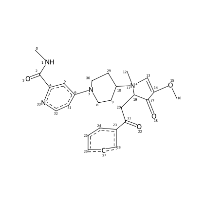 CNC(=O)c1cc(N2CCC([N+]3(C)C=C(OC)C(=O)C3CC(=O)c3ccccc3)CC2)ccn1